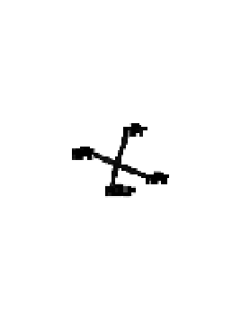 CCC[CH]C(CCC)(CCC)CCC